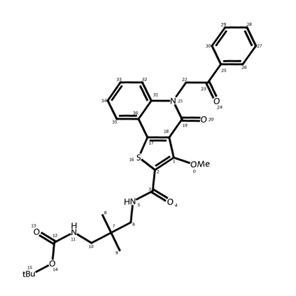 COc1c(C(=O)NCC(C)(C)CNC(=O)OC(C)(C)C)sc2c1c(=O)n(CC(=O)c1ccccc1)c1ccccc21